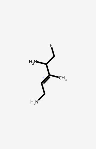 C/C(=C\CN)C(N)CF